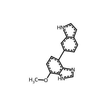 COc1ccc(-c2ccc3cc[nH]c3c2)c2nc[nH]c12